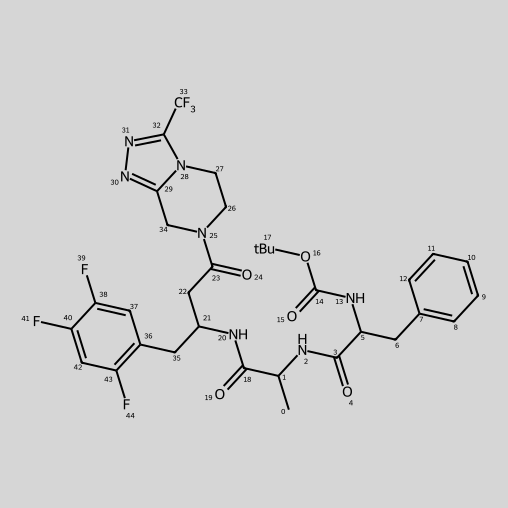 CC(NC(=O)C(Cc1ccccc1)NC(=O)OC(C)(C)C)C(=O)NC(CC(=O)N1CCn2c(nnc2C(F)(F)F)C1)Cc1cc(F)c(F)cc1F